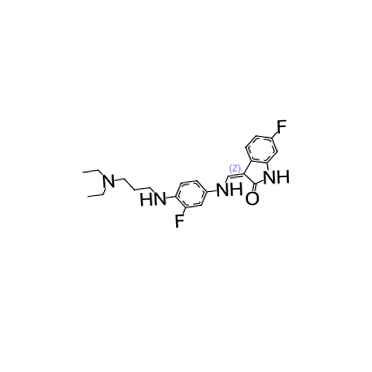 CCN(CC)CCCNc1ccc(N/C=C2\C(=O)Nc3cc(F)ccc32)cc1F